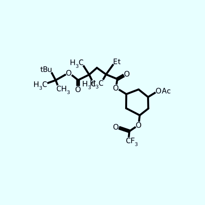 CCC(C)(CC(C)(C)C(=O)OC(C)(C)C(C)(C)C)C(=O)OC1CC(OC(C)=O)CC(OC(=O)C(F)(F)F)C1